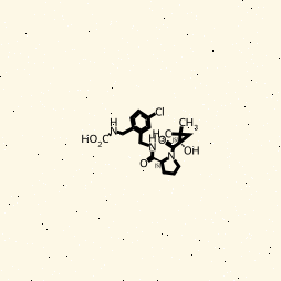 CC1(C)C[C@@]1(O)C(=O)N1CCC[C@H]1C(=O)NCc1cc(Cl)ccc1CNC(=O)O